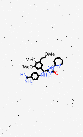 COCCc1cc(C(Nc2ccc(C(=N)N)cc2)c2nn(C3=CC=CCC=N3)c(=O)[nH]2)cc(OC)c1OC